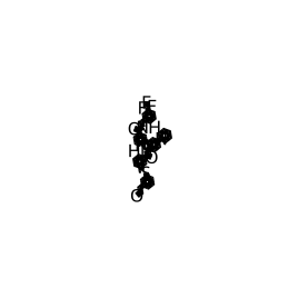 O=CCc1cccc(SCc2cccc(C(=O)Nc3ccc(N4CCCCC4)cc3-c3cc(C(=O)NCc4cccc(C(F)(F)F)c4)ccn3)c2)c1